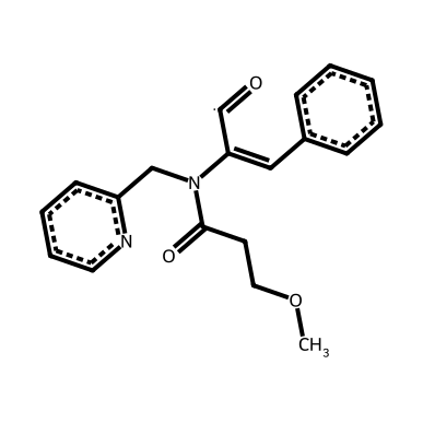 COCCC(=O)N(Cc1ccccn1)C([C]=O)=Cc1ccccc1